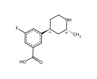 C[C@@H]1C[C@@H](c2cc(F)cc(C(=O)O)c2)CCN1